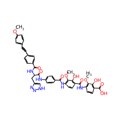 COc1ccc(C#Cc2ccc(C(=O)NC(Cc3c[nH]nn3)C(=O)Nc3ccc(C(=O)Nc4ccc(C(=O)Nc5ccc(C(=O)O)c(O)c5OC)c(O)c4OC)cc3)cc2)cc1